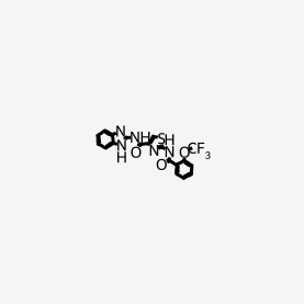 O=C(Nc1nc2ccccc2[nH]1)c1csc(NC(=O)c2ccccc2OC(F)(F)F)n1